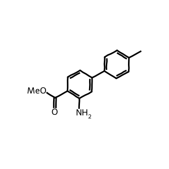 COC(=O)c1ccc(-c2ccc(C)cc2)cc1N